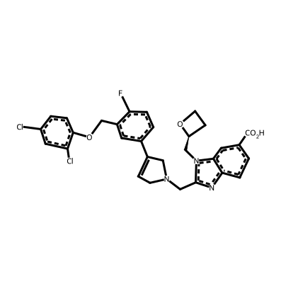 O=C(O)c1ccc2nc(CN3CC=C(c4ccc(F)c(COc5ccc(Cl)cc5Cl)c4)C3)n(C[C@@H]3CCO3)c2c1